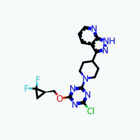 FC1(F)C[C@@H]1COc1nc(Cl)nc(N2CCC(c3n[nH]c4ncccc34)CC2)n1